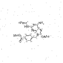 CCCCCNc1nc(N)c2nc(OC)n(Cc3ccc(C(=O)OC)cc3)c2n1